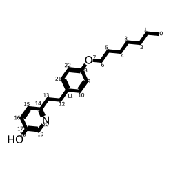 CCCCCCCOc1ccc(CCc2ccc(O)cn2)cc1